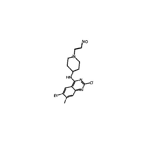 CCc1cc2c(NC3CCN(CCN=O)CC3)nc(Cl)nc2cc1C